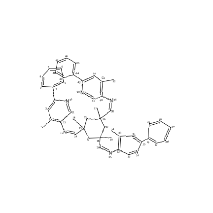 Cc1cc(-c2ccccc2)ncc1/N=C\C1(C)CC(C)(/C=N\c2cnc(-c3ccccc3)cc2C)CC(C)(/C=N\c2cnc(-c3ccccc3)cc2C)C1